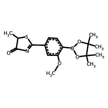 COc1cc(C2=NC(=O)C(C)S2)ccc1B1OC(C)(C)C(C)(C)O1